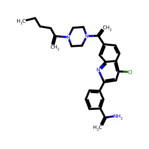 C=C(N)c1cccc(-c2cc(Cl)c3ccc(C(=C)N4CCN(C(=C)CCCC)CC4)cc3n2)c1